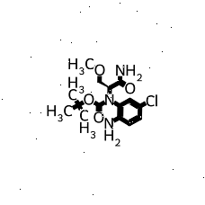 COC[C@@H](C(N)=O)N(C(=O)OC(C)(C)C)c1cc(Cl)ccc1N